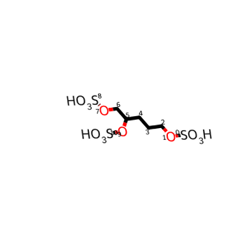 O=S(=O)(O)OCCCC(COS(=O)(=O)O)OS(=O)(=O)O